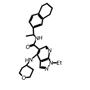 CCn1ncc2c(NC3CCOCC3)c(C(=O)NC(C)c3ccc4c(c3)CCCC4)cnc21